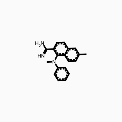 Cc1ccc2c(N(C)c3ccccc3)c(C(=N)N)ccc2c1